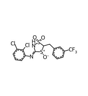 O=S1(=O)NC(=Nc2cccc(Cl)c2Cl)[S+]([O-])C1Cc1cccc(C(F)(F)F)c1